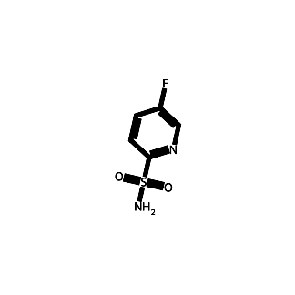 NS(=O)(=O)c1ccc(F)cn1